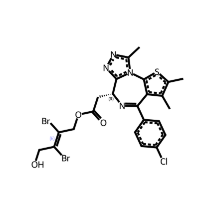 Cc1sc2c(c1C)C(c1ccc(Cl)cc1)=N[C@H](CC(=O)OC/C(Br)=C(\Br)CO)c1nnc(C)n1-2